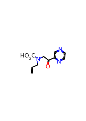 C=CCN(CC(=O)c1cnccn1)C(=O)O